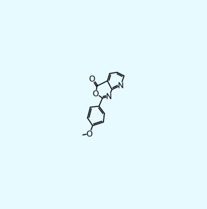 COc1ccc(-c2nc3ncccc3c(=O)o2)cc1